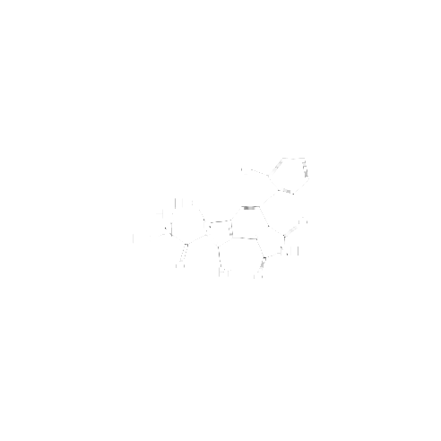 CN(C)C(=O)c1c(Br)c2c3c(c(-c4ccccc4Cl)cc2n1C)C(=O)NC3=O